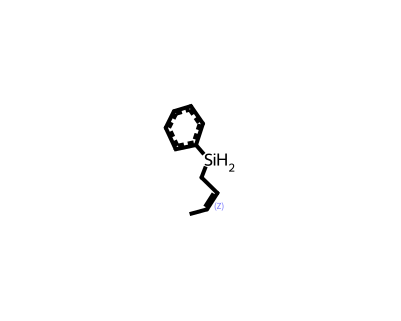 C/C=C\C[SiH2]c1ccccc1